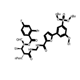 CCCCC[C@@H](C(=O)NCNC(=O)c1ccc(-c2cc(OCC)cc(P(=O)(OCCCC)OCCCC)c2)o1)[C@@H](CC)N(C=O)OC(=O)c1ccc(F)cc1C(C)C